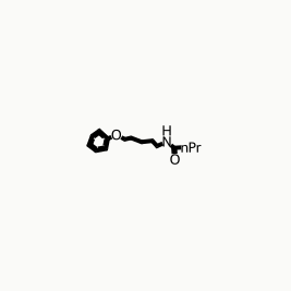 CCCC(=O)NCCCCCOc1ccccc1